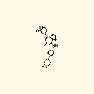 CC/C=C(/c1cc[nH]c(=O)c1)n1ccnc1C(C)Nc1ccc(C2CCNCC2)cc1